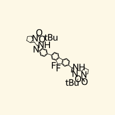 CC(C)(C)OC(=O)N1CCCC1c1ncc(-c2ccc3c(c2)C(F)(F)c2cc(-c4ccc5nc(C6C7CCC(C7)N6C(=O)OC(C)(C)C)[nH]c5c4)ccc2-3)[nH]1